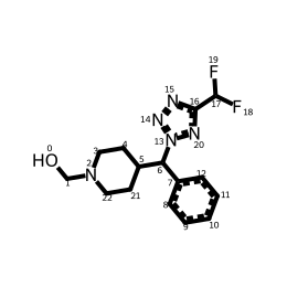 OCN1CCC(C(c2ccccc2)n2nnc(C(F)F)n2)CC1